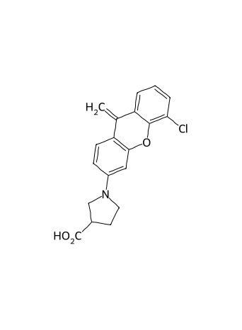 C=C1c2ccc(N3CCC(C(=O)O)C3)cc2Oc2c(Cl)cccc21